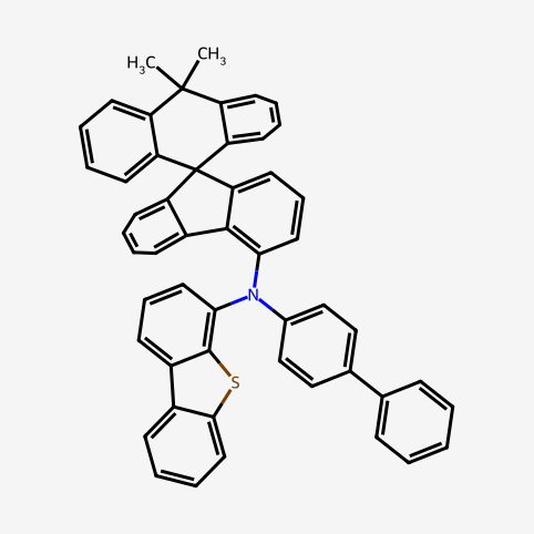 CC1(C)c2ccccc2C2(c3ccccc3-c3c(N(c4ccc(-c5ccccc5)cc4)c4cccc5c4sc4ccccc45)cccc32)c2ccccc21